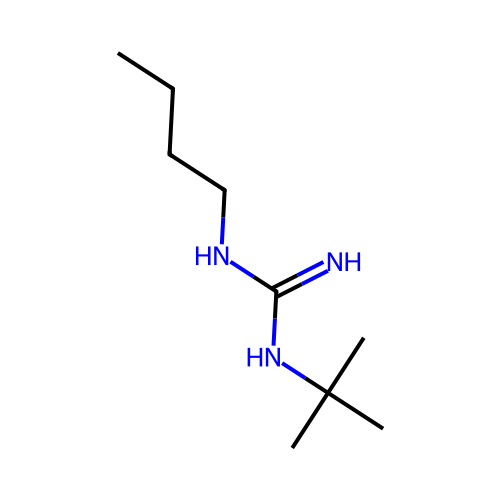 CCCCNC(=N)NC(C)(C)C